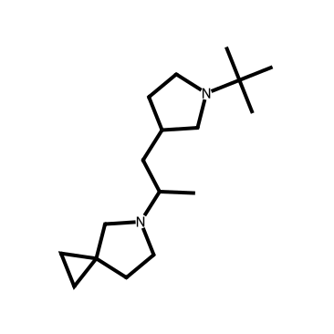 CC(CC1CCN(C(C)(C)C)C1)N1CCC2(CC2)C1